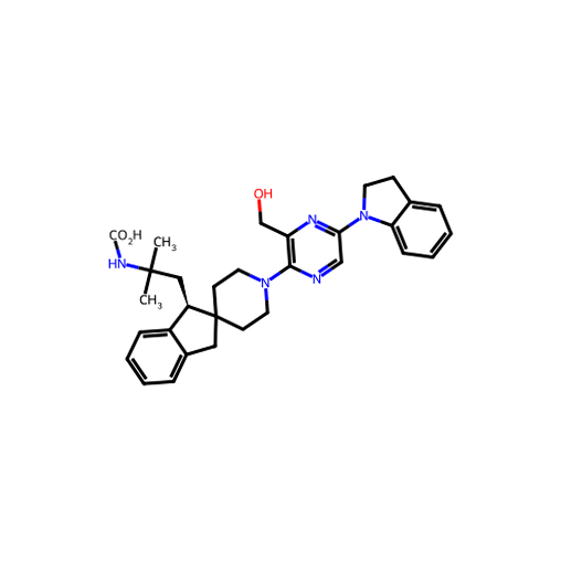 CC(C)(C[C@@H]1c2ccccc2CC12CCN(c1ncc(N3CCc4ccccc43)nc1CO)CC2)NC(=O)O